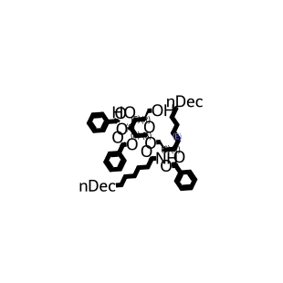 CCCCCCCCCCCCC/C=C/[C@@H](OC(=O)c1ccccc1)[C@H](CO[C@H]1O[C@H](CO)[C@H](O)[C@H](OC(=O)c2ccccc2)[C@H]1OC(=O)c1ccccc1)NC(=O)CCCCCCCCCCCCCCC